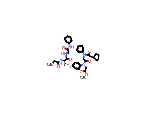 CC(C)(C)OC(=O)CN(C(=O)CN(C(=O)CC1CCCC1)c1ccccc1)c1ccccc1.C[C@H](NC(=O)CC(C)(C)C)C(=O)NCC(=O)Nc1ccccc1